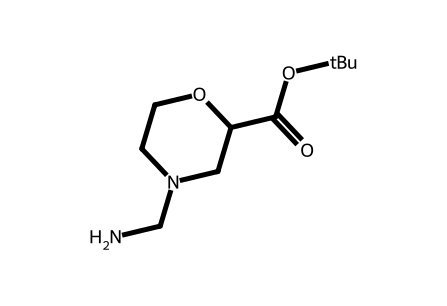 CC(C)(C)OC(=O)C1CN(CN)CCO1